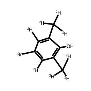 [2H]c1c(Br)c([2H])c(C([2H])([2H])[2H])c(O)c1C([2H])([2H])[2H]